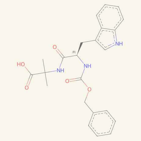 CC(C)(NC(=O)[C@@H](Cc1c[nH]c2ccccc12)NC(=O)OCc1ccccc1)C(=O)O